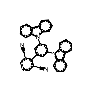 N#Cc1cncc(C#N)c1-c1cc(-n2c3ccccc3c3ccccc32)cc(-n2c3ccccc3c3ccccc32)c1